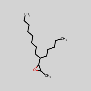 CCCCCCCCC(CCCCC)C1OC1C